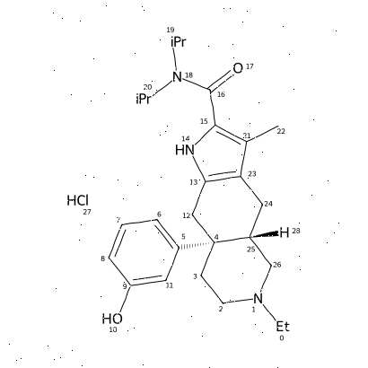 CCN1CC[C@@]2(c3cccc(O)c3)Cc3[nH]c(C(=O)N(C(C)C)C(C)C)c(C)c3C[C@@H]2C1.Cl